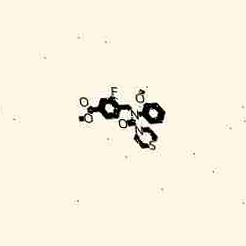 COC(=O)c1ccc(CN(C(=O)N2CCSCC2)c2ccccc2OC)c(F)c1